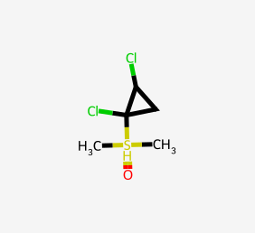 C[SH](C)(=O)C1(Cl)CC1Cl